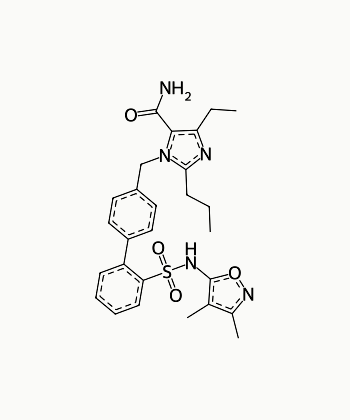 CCCc1nc(CC)c(C(N)=O)n1Cc1ccc(-c2ccccc2S(=O)(=O)Nc2onc(C)c2C)cc1